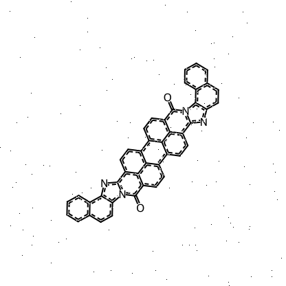 O=c1c2ccc3c4ccc5c6c(ccc(c7ccc(c2c73)c2nc3c7ccccc7ccc3n12)c46)c(=O)n1c5nc2ccc3ccccc3c21